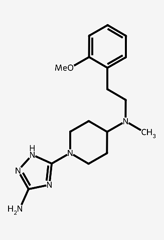 COc1ccccc1CCN(C)C1CCN(c2nc(N)n[nH]2)CC1